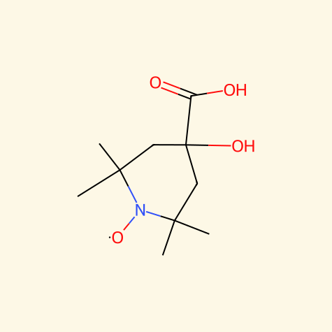 CC1(C)CC(O)(C(=O)O)CC(C)(C)N1[O]